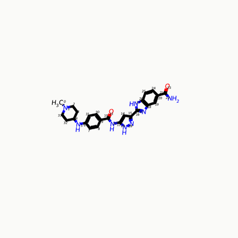 CN1CCC(Nc2ccc(C(=O)Nc3cc(-c4nc5cc(C(N)=O)ccc5[nH]4)n[nH]3)cc2)CC1